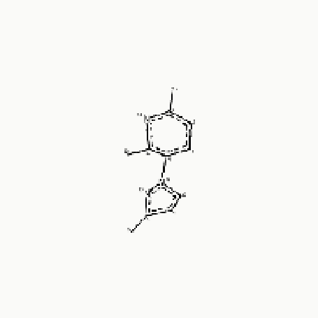 Cc1ccc(-n2ccc(C)n2)c(C)n1